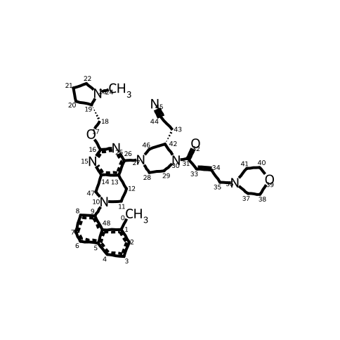 Cc1cccc2cccc(N3CCc4c(nc(OC[C@@H]5CCCN5C)nc4N4CCN(C(=O)/C=C/CN5CCOCC5)[C@@H](CC#N)C4)C3)c12